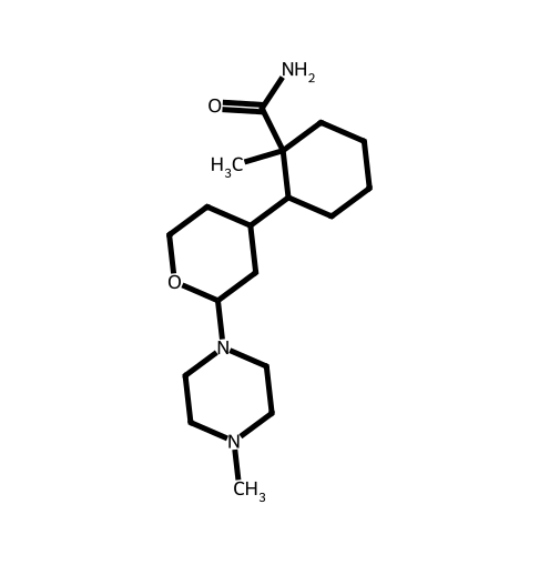 CN1CCN(C2CC(C3CCCCC3(C)C(N)=O)CCO2)CC1